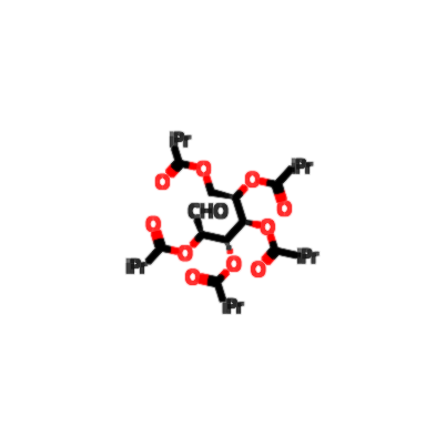 CC(C)C(=O)OC[C@@H](OC(=O)C(C)C)[C@@H](OC(=O)C(C)C)[C@H](OC(=O)C(C)C)[C@H](C=O)OC(=O)C(C)C